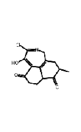 CC1CC2=C3C(=C(O)C(Cl)=NC2)C(=O)CCC3C1=O